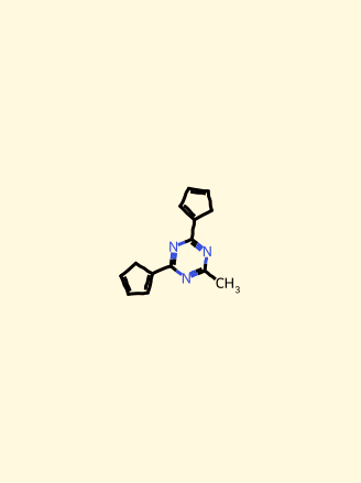 Cc1nc(C2=CC=CC2)nc(C2=CC=CC2)n1